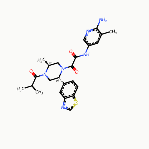 Cc1cc(NC(=O)C(=O)N2C[C@H](C)N(C(=O)C(C)C)C[C@H]2c2ccc3scnc3c2)cnc1N